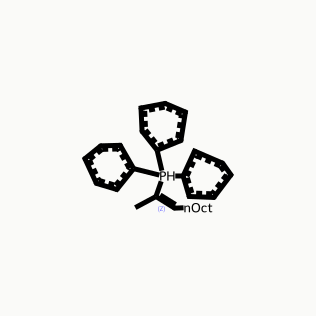 CCCCCCCC/C=C(/C)[PH](c1ccccc1)(c1ccccc1)c1ccccc1